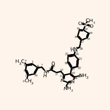 Cc1cc(C)cc(CNC(=O)CCc2nc(N)nc(N)c2-c2ccc(NCc3ccc(S(C)(=O)=O)cc3)cc2)c1